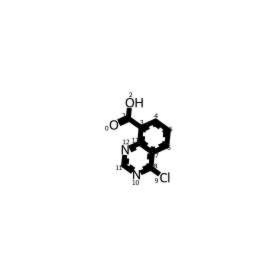 O=C(O)c1cccc2c(Cl)ncnc12